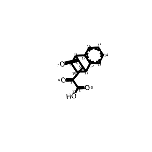 O=C(O)C(=O)C1C(=O)C2CCC1c1ccccc12